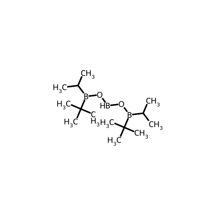 CC(C)B(OBOB(C(C)C)C(C)(C)C)C(C)(C)C